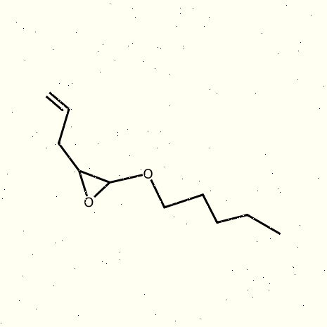 C=CCC1OC1OCCCCC